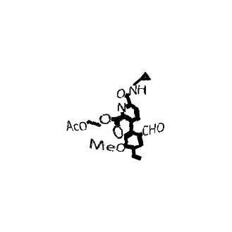 C=Cc1cc(C=O)c(-c2ccc(C(=O)NCC3CC3)nc2C(=O)OCCOC(C)=O)cc1OC